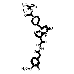 COc1ccc(CC(=O)NNC(=O)c2cnn3c(C4CCN(C(=O)OC(C)(C)C)CC4)cc(=O)[nH]c23)cc1F